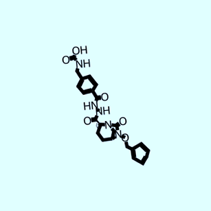 O=C(O)NCc1ccc(C(=O)NNC(=O)[C@@H]2CCC3CN2C(=O)N3OCc2ccccc2)cc1